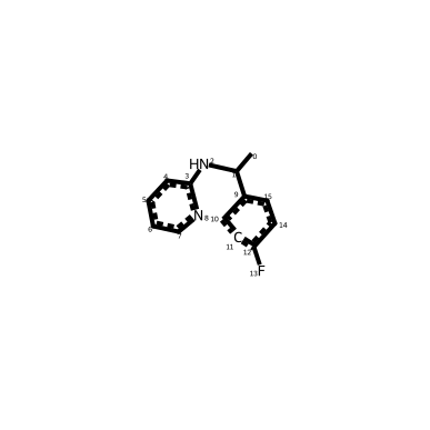 CC(Nc1ccccn1)c1ccc(F)cc1